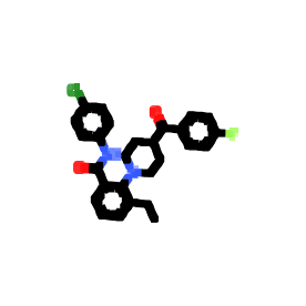 CCc1cccc(C(=O)Nc2ccc(Cl)cc2)c1N1CCC(C(=O)c2ccc(F)cc2)CC1